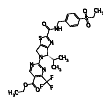 CCOC(=O)c1cnc(N2Cc3sc(C(=O)NCc4ccc(S(=O)(=O)CC)cc4)nc3[C@@H]2C(C)C)nc1C(F)(F)F